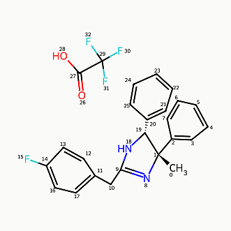 C[C@@]1(c2ccccc2)N=C(Cc2ccc(F)cc2)N[C@@H]1c1ccccc1.O=C(O)C(F)(F)F